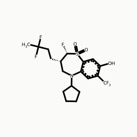 CC(F)(F)CC[C@H]1CN(C2CCCC2)c2cc(C(F)(F)F)c(O)cc2S(=O)(=O)[C@H]1F